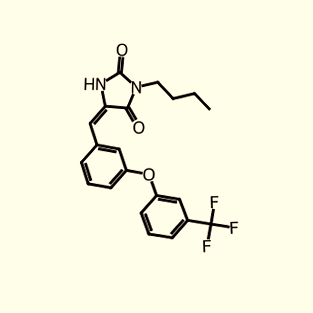 CCCCN1C(=O)NC(=Cc2cccc(Oc3cccc(C(F)(F)F)c3)c2)C1=O